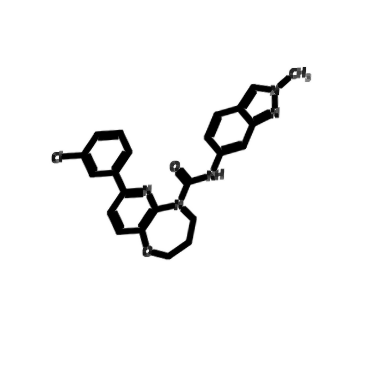 Cn1cc2ccc(NC(=O)N3CCCOc4ccc(-c5cccc(Cl)c5)nc43)cc2n1